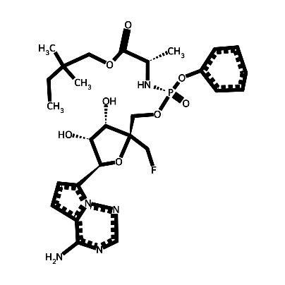 CCC(C)(C)COC(=O)[C@H](C)N[P@](=O)(OC[C@@]1(CF)O[C@@H](c2ccc3c(N)ncnn23)[C@H](O)[C@@H]1O)Oc1ccccc1